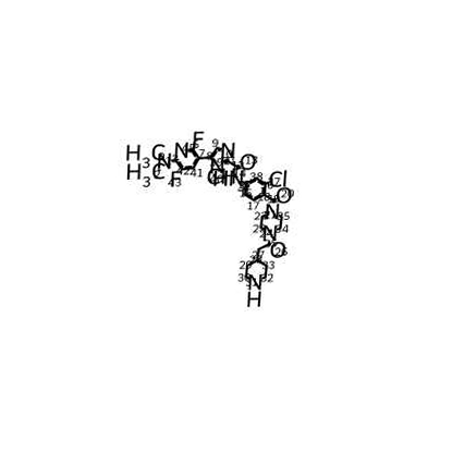 CN(C)c1nc(F)c(-c2cnc(C(=O)Nc3ccc(C(=O)N4CCN(C(=O)CC5CCNCC5)CC4)c(Cl)c3)n2C)cc1F